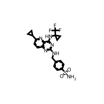 NS(=O)(=O)c1ccc(CNc2nc(NC3(C(F)(F)F)CC3)c3nc(C4CC4)ccc3n2)cc1